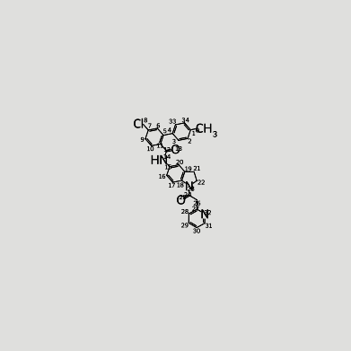 Cc1ccc(-c2cc(Cl)ccc2C(=O)Nc2ccc3c(c2)CCN3C(=O)Cc2ccccn2)cc1